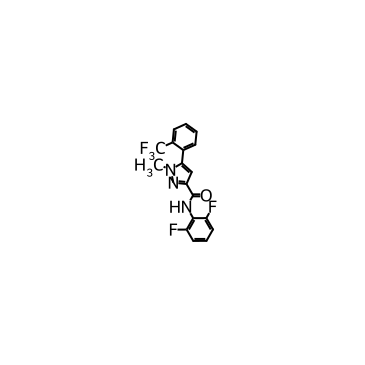 Cn1nc(C(=O)Nc2c(F)cccc2F)cc1-c1ccccc1C(F)(F)F